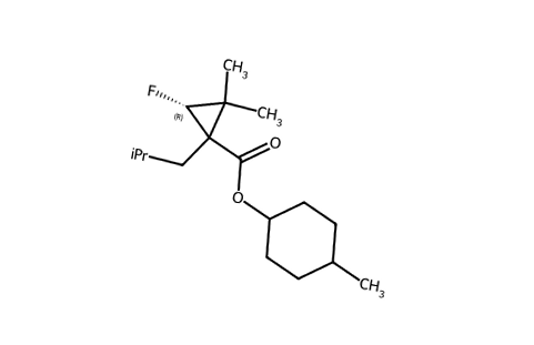 CC(C)CC1(C(=O)OC2CCC(C)CC2)[C@H](F)C1(C)C